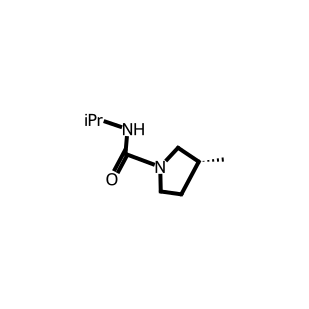 CC(C)NC(=O)N1CC[C@@H](C)C1